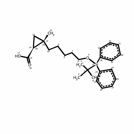 CC(C)(C)[Si](OCCCCC[C@@]1(C)C[C@@H]1C(=O)O)(c1ccccc1)c1ccccc1